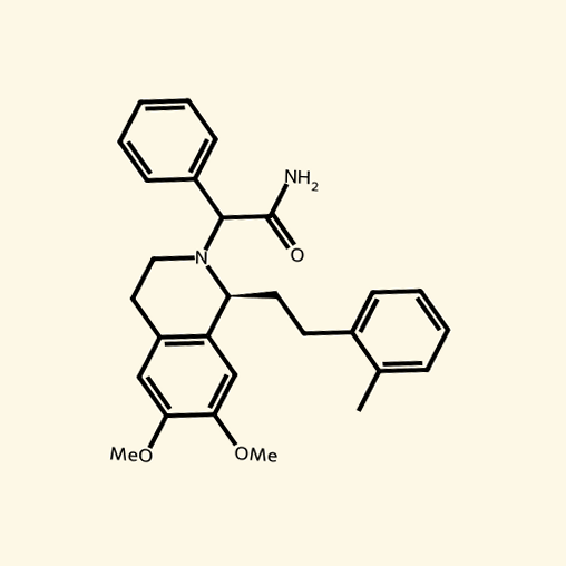 COc1cc2c(cc1OC)[C@H](CCc1ccccc1C)N(C(C(N)=O)c1ccccc1)CC2